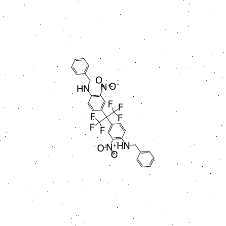 O=[N+]([O-])c1cc(C(c2ccc(NCc3ccccc3)c([N+](=O)[O-])c2)(C(F)(F)F)C(F)(F)F)ccc1NCc1ccccc1